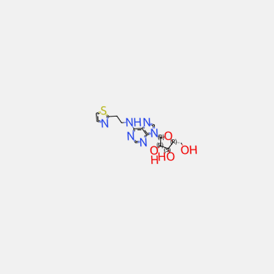 OC[C@H]1O[C@@H](n2cnc3c(NCCc4nccs4)ncnc32)[C@H](O)[C@@H]1O